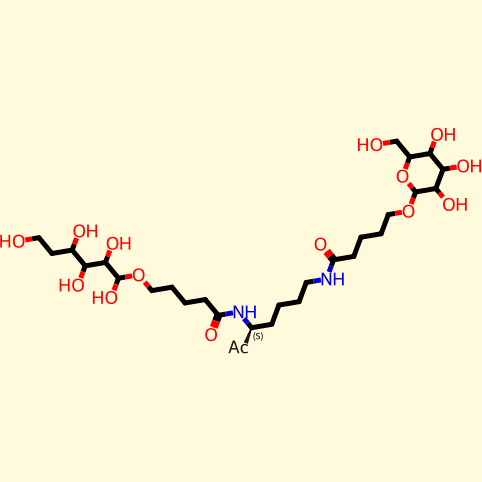 CC(=O)[C@H](CCCCNC(=O)CCCCOC1OC(CO)C(O)C(O)C1O)NC(=O)CCCCOC(O)C(O)C(O)C(O)CCO